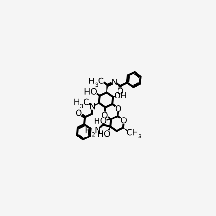 C/C(=N/C(=O)c1ccccc1)[C@@H]1C(O)[C@H](N(C)CC(=O)c2ccccc2)C2O[C@]3(O)C(OC2[C@H]1O)O[C@H](C)C[C@]3(O)CN